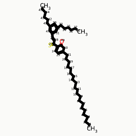 CCCCCCCCCCCCCCCCCCCCCCC1=CC=C(C(=S)C=Cc2cc(CCCCCC)cc(CCCCCC)c2)C(=O)C1